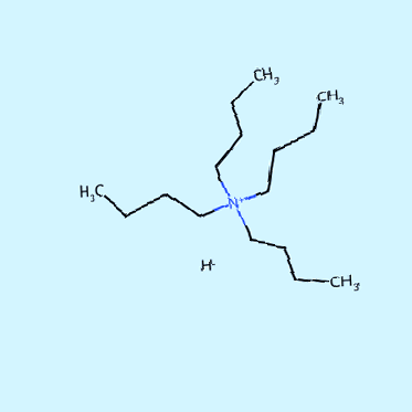 CCCC[N+](CCCC)(CCCC)CCCC.[H]